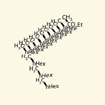 CCCCCCC.CCCCCCC.CCCCCCC.CCCCCCC.CCCCCCC.CCCCCCC.CCCCCCC.CCCCCCC.CCCCCCC.CCCCCCC.CCCCCCC.CCCCCCC.CCOC(C)=O